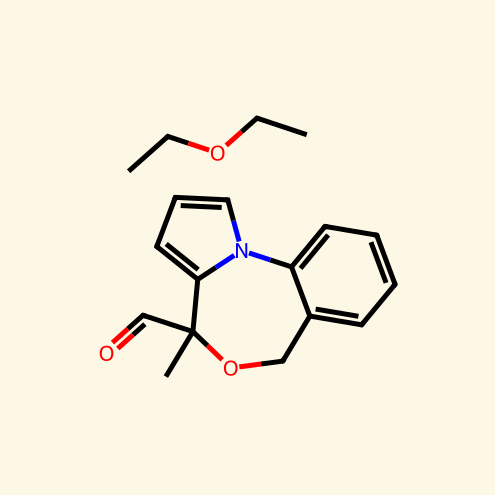 CC1(C=O)OCc2ccccc2-n2cccc21.CCOCC